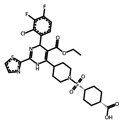 CCOC(=O)C1=C(C2CCN(S(=O)(=O)[C@H]3CC[C@@H](C(=O)O)CC3)CC2)NC(c2nccs2)=NC1c1ccc(F)c(F)c1Cl